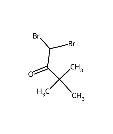 CC(C)(C)C(=O)C(Br)Br